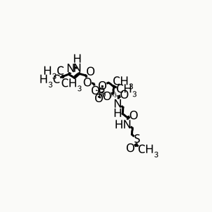 CC(=O)SCCNC(=O)CCNC(=O)[C@@H]1O[P@](=O)(OCOC(=O)c2cc(C(C)(C)C)n[nH]2)OCC1(C)C